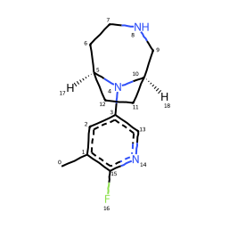 Cc1cc(N2[C@@H]3CCNC[C@H]2CC3)cnc1F